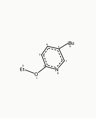 CCOc1ccc(C(C)CC)cn1